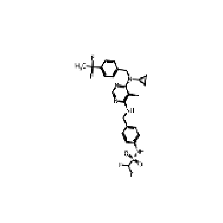 CC(F)(F)c1ccc(CN(c2ncnc(NCc3ccc(NS(=O)(=O)C(F)F)cc3)c2F)C2CC2)cc1